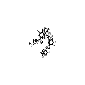 Cc1cc(C(=O)NCC(F)(F)F)nc2c1N1CC[C@@H](C1)N2C(=O)Nc1cc(OC[C@H]2COC(C)(C)O2)ccn1